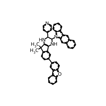 CC1(C)C2=C(NC(n3c4ccccc4c4cc5ccccc5cc43)C(c3ccncc3)N2)c2cc(-c3ccc4oc5ccccc5c4c3)ccc21